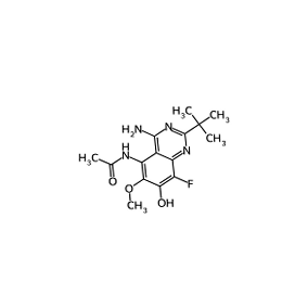 COc1c(O)c(F)c2nc(C(C)(C)C)nc(N)c2c1NC(C)=O